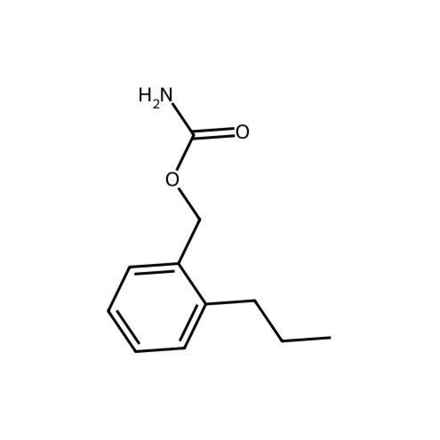 CCCc1ccccc1COC(N)=O